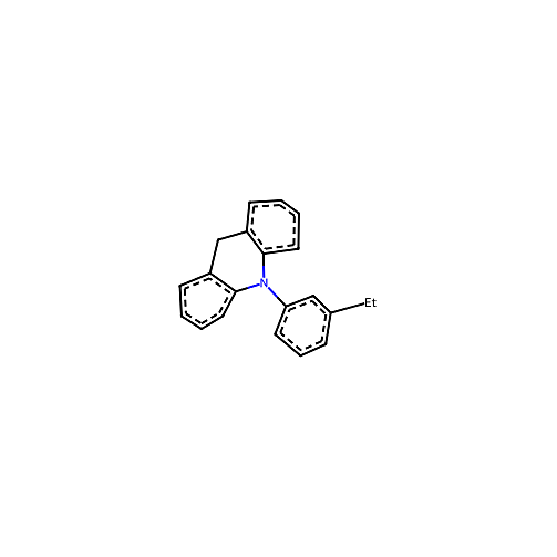 CCc1cccc(N2c3ccccc3Cc3ccccc32)c1